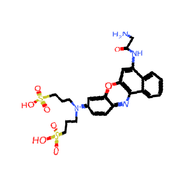 NCC(=O)Nc1cc2oc3cc(=[N+](CCCS(=O)(=O)O)CCCS(=O)(=O)O)ccc-3nc2c2ccccc12